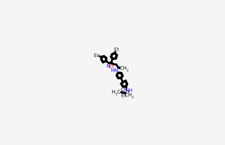 C=C(Cc1onc(-c2ccc(CC)cc2)c1-c1ccc(CC)cc1)Nc1ccc(-c2ccc(NC(=C)C(C)(C)CC)cc2)cc1